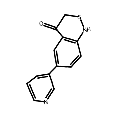 O=C1CSNc2ccc(-c3cccnc3)cc21